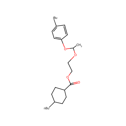 CCCCC1CCC(C(=O)OCCOC(C)Oc2ccc(C(C)CC)cc2)CC1